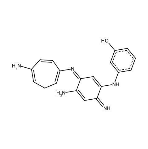 N=C1C=C(N)/C(=N\C2=CCC=C(N)C=C2)C=C1Nc1cccc(O)c1